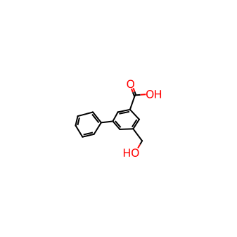 O=C(O)c1cc(CO)cc(-c2ccccc2)c1